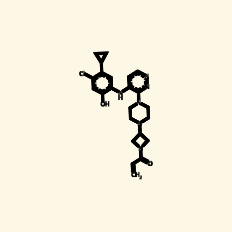 C=CC(=O)N1CC(N2CCN(c3nnccc3Nc3cc(C4CC4)c(Cl)cc3O)CC2)C1